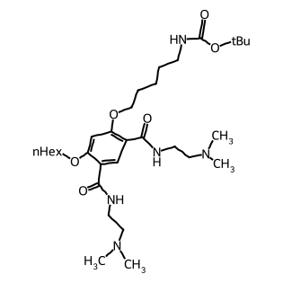 CCCCCCOc1cc(OCCCCCNC(=O)OC(C)(C)C)c(C(=O)NCCN(C)C)cc1C(=O)NCCN(C)C